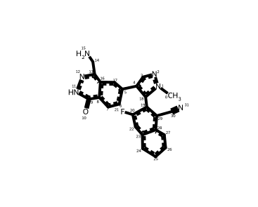 Cn1ncc(-c2ccc3c(=O)[nH]nc(CN)c3c2)c1-c1c(F)cc2ccccc2c1C#N